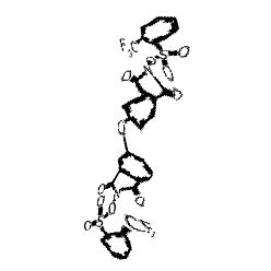 O=C1c2ccc(Oc3ccc4c(c3)C(=O)N(OS(=O)(=O)c3ccccc3C(F)(F)F)C4=O)cc2C(=O)N1OS(=O)(=O)c1ccccc1C(F)(F)F